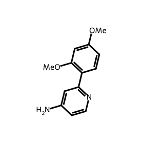 COc1ccc(-c2cc(N)ccn2)c(OC)c1